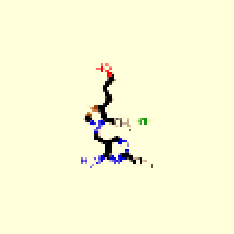 Br.CC1=C(CCCO)SCN1Cc1cnc(C)nc1N